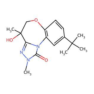 Cn1nc2n(c1=O)-c1cc(C(C)(C)C)ccc1OCC2(C)O